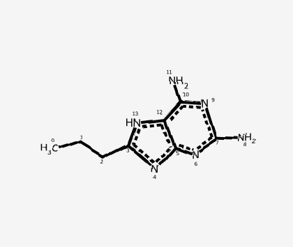 CCCc1nc2nc(N)nc(N)c2[nH]1